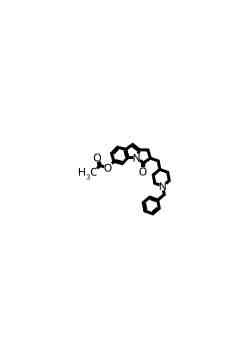 CC(=O)Oc1ccc2cc3n(c2c1)C(=O)C(CC1CCN(Cc2ccccc2)CC1)C3